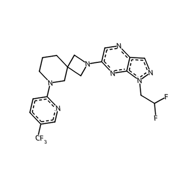 FC(F)Cn1ncc2ncc(N3CC4(CCCN(c5ccc(C(F)(F)F)cn5)C4)C3)nc21